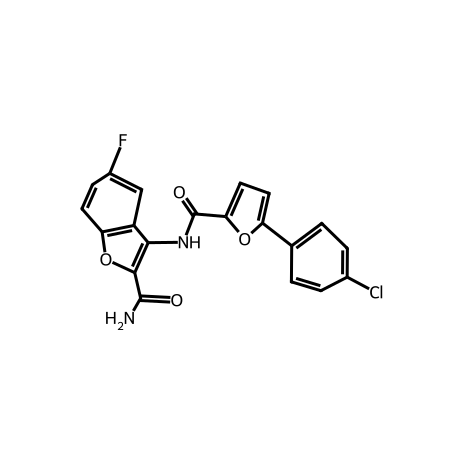 NC(=O)c1oc2ccc(F)cc2c1NC(=O)c1ccc(-c2ccc(Cl)cc2)o1